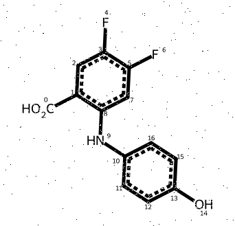 O=C(O)c1cc(F)c(F)cc1Nc1ccc(O)cc1